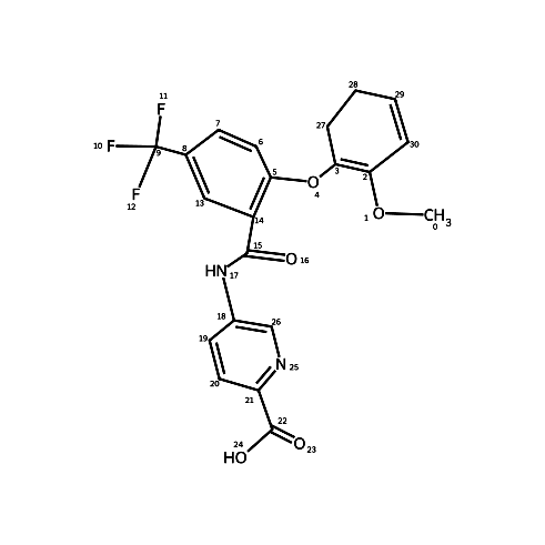 COC1=C(Oc2ccc(C(F)(F)F)cc2C(=O)Nc2ccc(C(=O)O)nc2)CCC=C1